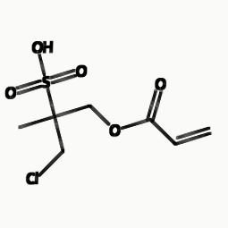 C=CC(=O)OCC(C)(CCl)S(=O)(=O)O